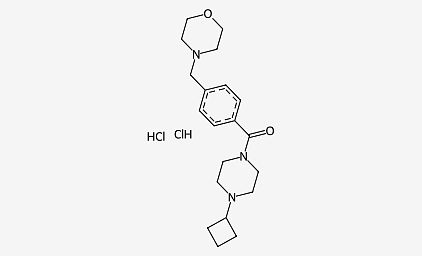 Cl.Cl.O=C(c1ccc(CN2CCOCC2)cc1)N1CCN(C2CCC2)CC1